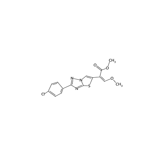 COC=C(C(=O)OC)c1cn2nc(-c3ccc(Cl)cc3)nc2s1